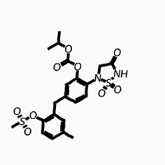 Cc1ccc(OS(C)(=O)=O)c(Cc2ccc(N3CC(=O)NS3(=O)=O)c(OC(=O)OC(C)C)c2)c1